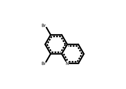 Brc1cc(Br)c2n[c]ccc2c1